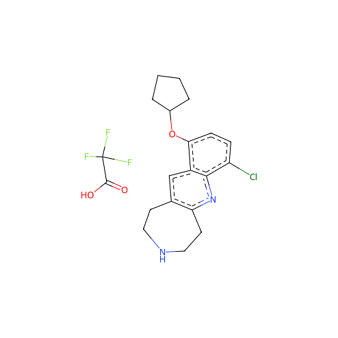 Clc1ccc(OC2CCCC2)c2cc3c(nc12)CCNCC3.O=C(O)C(F)(F)F